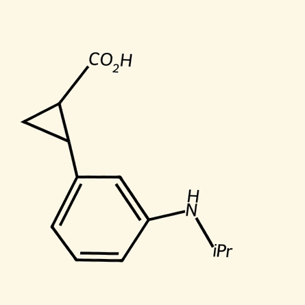 CC(C)Nc1cccc(C2CC2C(=O)O)c1